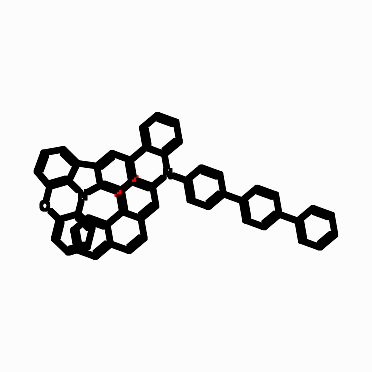 c1ccc(-c2ccc(-c3ccc(N(c4ccc5c(ccc6ccccc65)c4)c4ccccc4-c4ccc5c(c4)c4cccc6c4n5-c4ccccc4O6)cc3)cc2)cc1